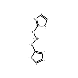 B(Oc1nccs1)Oc1nccs1